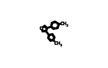 Cc1ccc(-c2cocc2-c2ccc(C)cc2)cc1